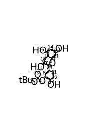 CC(C)(C)OC(=O)Oc1cc([C@H]2Oc3cc(O)cc(O)c3C[C@H]2O)ccc1O